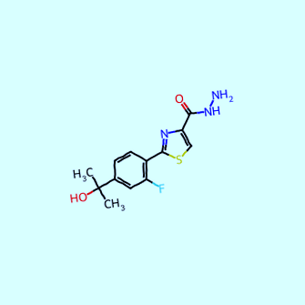 CC(C)(O)c1ccc(-c2nc(C(=O)NN)cs2)c(F)c1